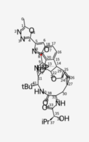 Cc1nnc(-c2coc(-c3nc4oc3[C@@]35c6ccccc6NC3Oc3ccc(cc35)CC(NC(=O)[C@@H](O)C(C)C)C(=O)NC4C(C)(C)C)n2)o1